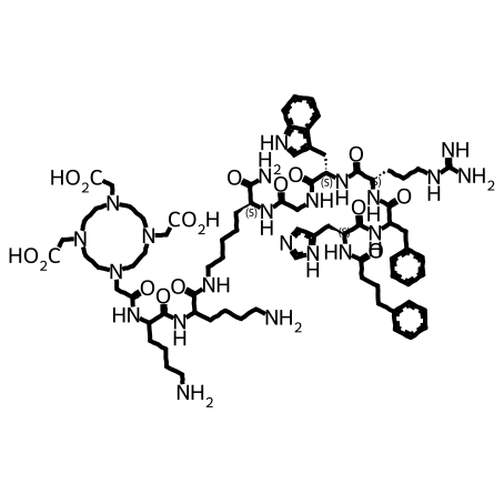 N=C(N)NCCC[C@H](NC(=O)C(Cc1ccccc1)NC(=O)[C@H](Cc1cnc[nH]1)NC(=O)CCCc1ccccc1)C(=O)N[C@@H](Cc1c[nH]c2ccccc12)C(=O)NCC(=O)N[C@@H](CCCCCNC(=O)C(CCCCN)NC(=O)C(CCCCN)NC(=O)CN1CCN(CC(=O)O)CCN(CC(=O)O)CCN(CC(=O)O)CC1)C(N)=O